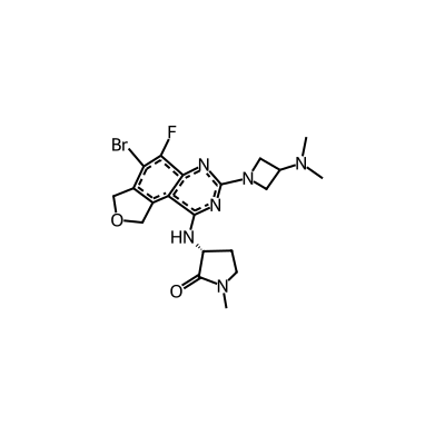 CN1CC[C@@H](Nc2nc(N3CC(N(C)C)C3)nc3c(F)c(Br)c4c(c23)COC4)C1=O